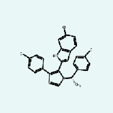 C[C@@H](c1ccc(Cl)cc1)n1cnc(-c2ccc(Cl)cc2)c1-c1cc2ccc(Cl)cc2[nH]1